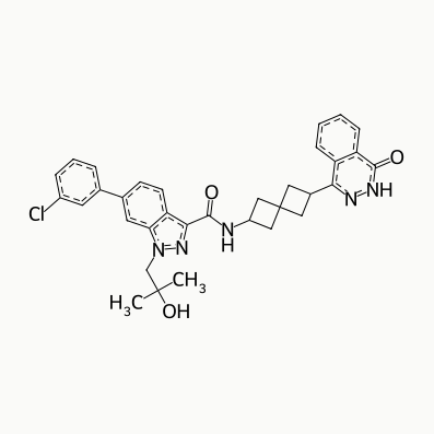 CC(C)(O)Cn1nc(C(=O)NC2CC3(C2)CC(c2n[nH]c(=O)c4ccccc24)C3)c2ccc(-c3cccc(Cl)c3)cc21